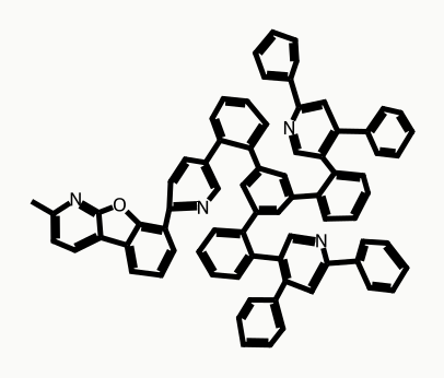 Cc1ccc2c(n1)oc1c(-c3ccc(-c4ccccc4-c4cc(-c5ccccc5-c5cnc(-c6ccccc6)cc5-c5ccccc5)cc(-c5ccccc5-c5cnc(-c6ccccc6)cc5-c5ccccc5)c4)cn3)cccc12